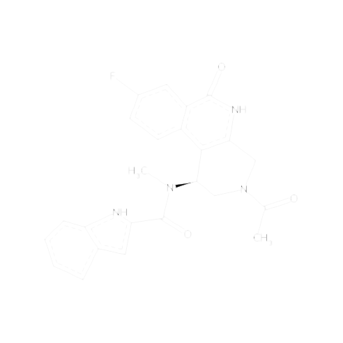 CC(=O)N1Cc2[nH]c(=O)c3cc(F)ccc3c2[C@H](N(C)C(=O)c2cc3ccccc3[nH]2)C1